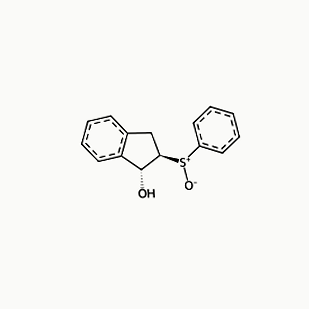 [O-][S+](c1ccccc1)[C@@H]1Cc2ccccc2[C@H]1O